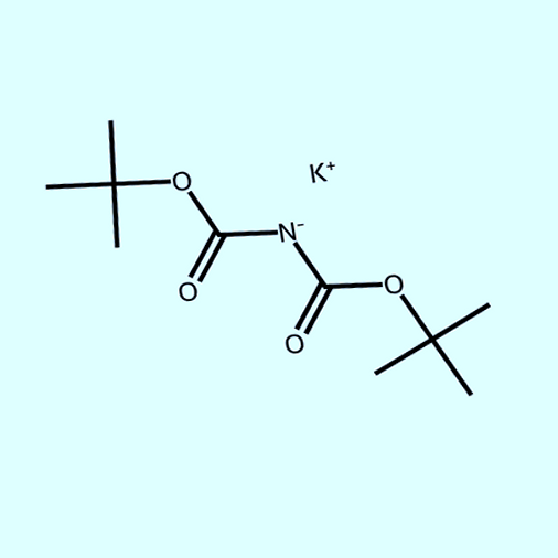 CC(C)(C)OC(=O)[N-]C(=O)OC(C)(C)C.[K+]